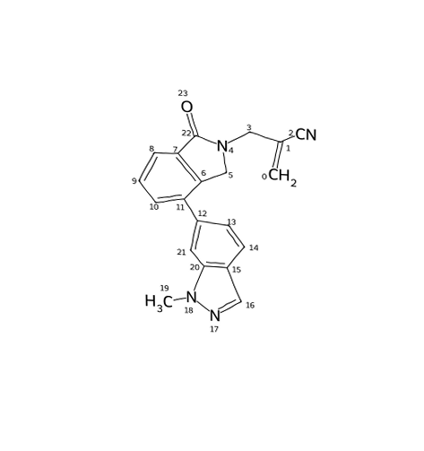 C=C(C#N)CN1Cc2c(cccc2-c2ccc3cnn(C)c3c2)C1=O